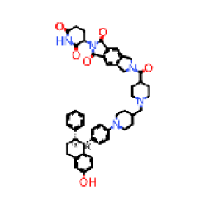 O=C1CCC(N2C(=O)c3cc4c(cc3C2=O)CN(C(=O)C2CCN(CC3CCN(c5ccc([C@@H]6c7ccc(O)cc7CC[C@@H]6c6ccccc6)cc5)CC3)CC2)C4)C(=O)N1